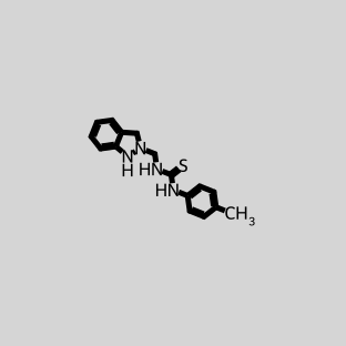 Cc1ccc(NC(=S)NCN2Cc3ccccc3N2)cc1